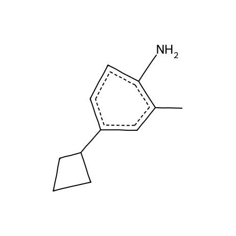 Cc1cc(C2CCC2)ccc1N